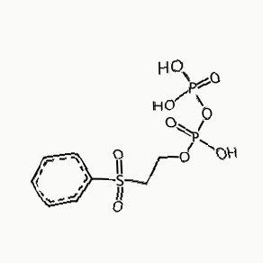 O=P(O)(O)OP(=O)(O)OCCS(=O)(=O)c1ccccc1